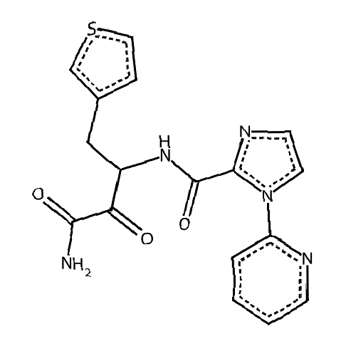 NC(=O)C(=O)C(Cc1ccsc1)NC(=O)c1nccn1-c1ccccn1